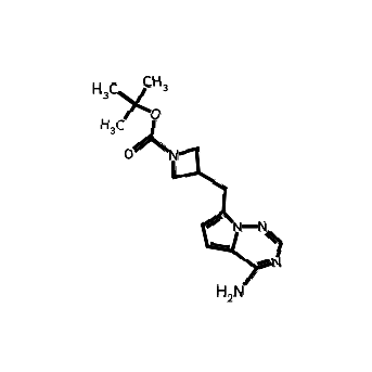 CC(C)(C)OC(=O)N1CC(Cc2ccc3c(N)ncnn23)C1